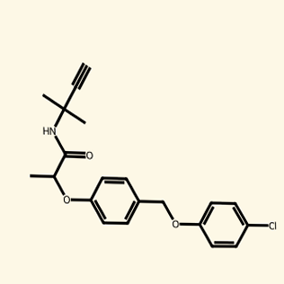 C#CC(C)(C)NC(=O)C(C)Oc1ccc(COc2ccc(Cl)cc2)cc1